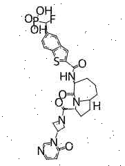 O=C(N[C@H]1CCC[C@H]2CC[C@@H](C(=O)N3CC(n4cnccc4=O)C3)N2C1=O)c1cc2cc(C(F)P(=O)(O)O)ccc2s1